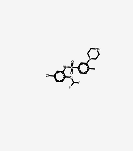 Cc1ccc(S(=O)(=O)Nc2cc(Cl)ccc2OC(F)F)cc1N1CCNCC1